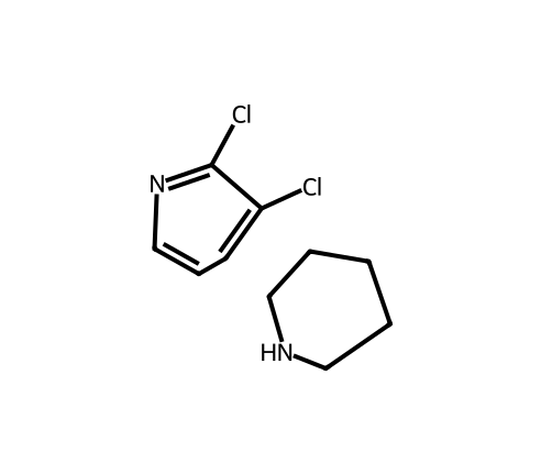 C1CCNCC1.Clc1cccnc1Cl